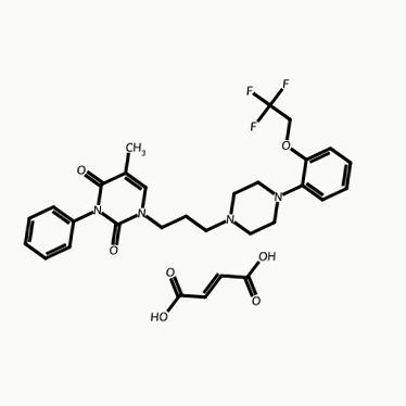 Cc1cn(CCCN2CCN(c3ccccc3OCC(F)(F)F)CC2)c(=O)n(-c2ccccc2)c1=O.O=C(O)C=CC(=O)O